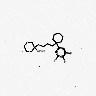 CCCCCC1(CCCCC2(c3cc(F)c(F)c(F)c3)CCCCC2)CCCCC1